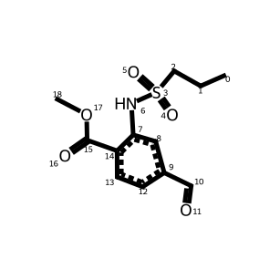 CCCS(=O)(=O)Nc1cc(C=O)ccc1C(=O)OC